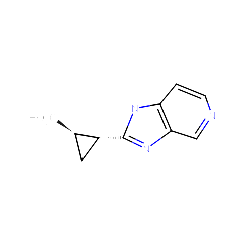 O=C(O)[C@@H]1C[C@H]1c1nc2cnccc2[nH]1